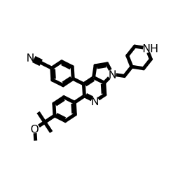 COC(C)(C)c1ccc(-c2ncc3c(ccn3CC3CCNCC3)c2-c2ccc(C#N)cc2)cc1